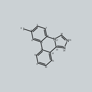 Ic1ccc2c(c1)c1ccccc1c1nncn21